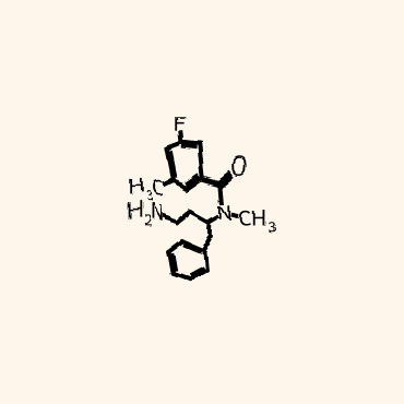 Cc1cc(F)cc(C(=O)N(C)C(CCN)Cc2ccccc2)c1